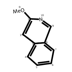 COc1[c]c2ccccc2cn1